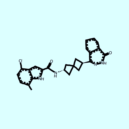 Cc1ccc(Cl)c2cc(C(=O)N[C@H]3CC4(C3)C[C@H](c3n[nH]c(=O)c5ccccc53)C4)[nH]c12